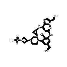 CS(=O)(=O)N1CC(N2CCN(c3cc(C=N)cc(Nc4nc(NC5CC5)c5ncc(C=N)n5n4)c3Cl)CC2)C1